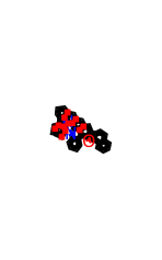 c1ccc(-c2ccccc2N(c2ccccc2-c2cccc3c2oc2c4ccccc4ccc32)c2ccccc2-n2c3ccccc3c3ccccc32)cc1